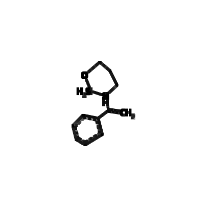 C=C(c1ccccc1)[SiH]1CCCO[SiH2]1